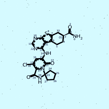 NC(=O)[C@H]1CCc2c(sc3ncnc(Nc4cc(Cl)c5n(c4=O)C4(CCCC4)NC5=O)c23)C1